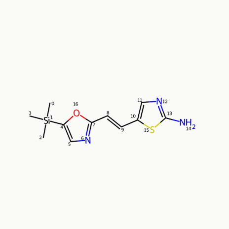 C[Si](C)(C)c1cnc(C=Cc2cnc(N)s2)o1